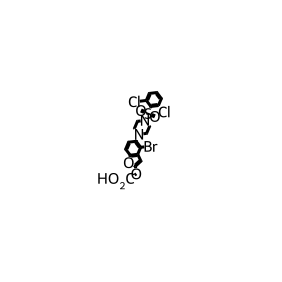 O=C(O)Oc1cc2c(Br)c(N3CCN(S(=O)(=O)c4c(Cl)cccc4Cl)CC3)ccc2o1